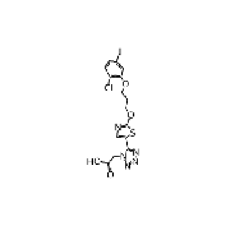 O=C(O)Cn1nnnc1-c1cnc(OCCCOc2cc(I)ccc2Cl)s1